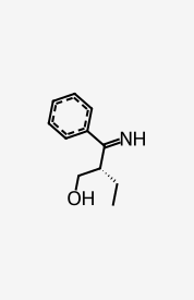 CC[C@H](CO)C(=N)c1ccccc1